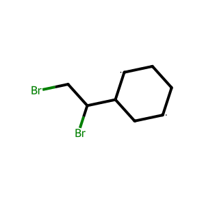 BrCC(Br)C1[CH]CC[CH]C1